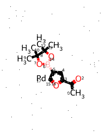 CC(=O)c1cc(B2OC(C)(C)C(C)(C)O2)co1.[Pd]